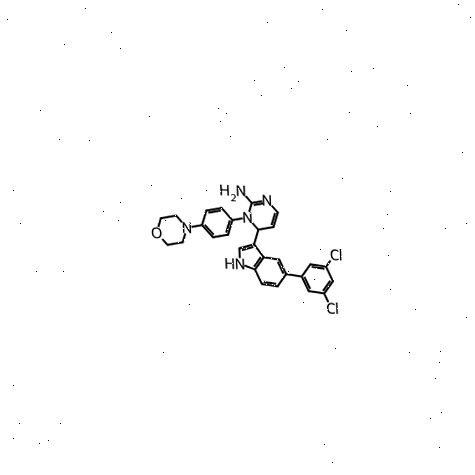 NC1=NC=CC(c2c[nH]c3ccc(-c4cc(Cl)cc(Cl)c4)cc23)N1c1ccc(N2CCOCC2)cc1